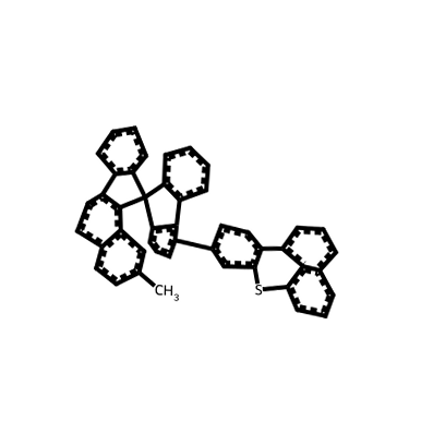 Cc1ccc2ccc3c(c2c1)C1(c2ccccc2-3)c2ccccc2-c2c(-c3ccc4c(c3)Sc3cccc5cccc-4c35)cccc21